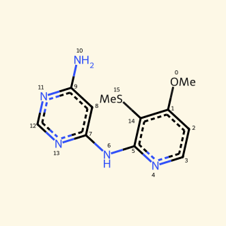 COc1ccnc(Nc2cc(N)ncn2)c1SC